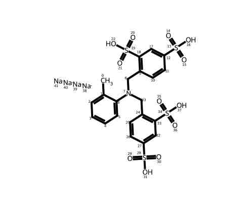 Cc1ccccc1N(Cc1ccc(S(=O)(=O)O)cc1S(=O)(=O)O)Cc1ccc(S(=O)(=O)O)cc1S(=O)(=O)O.[Na].[Na].[Na].[Na]